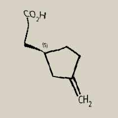 C=C1CC[C@H](CC(=O)O)C1